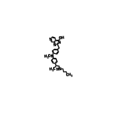 CCCCNCC(C)c1ccc(N(C)c2ccc(Cc3nc(O)c4ccncc4n3)cc2)cc1